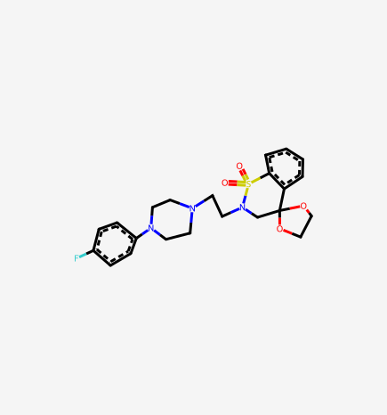 O=S1(=O)c2ccccc2C2(CN1CCN1CCN(c3ccc(F)cc3)CC1)OCCO2